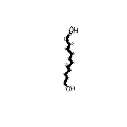 OCCCC/C=C/CCCCCO